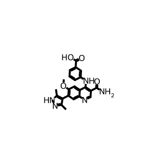 COc1cc2c(Nc3cccc(C(=O)O)c3)c(C(N)=O)cnc2cc1-c1c(C)n[nH]c1C